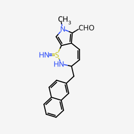 Cn1cc2c(c1C=O)C=CC(Cc1ccc3ccccc3c1)NS2=N